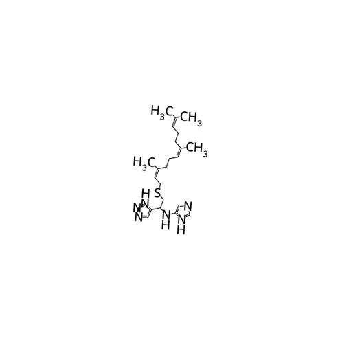 CC(C)=CCCC(C)=CCCC(C)=CCSCC(Nc1cnc[nH]1)c1cnn[nH]1